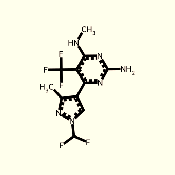 CNc1nc(N)nc(-c2cn(C(F)F)nc2C)c1C(F)(F)F